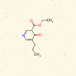 CCCC1=CN=CC(C(=O)OCC)C1=O